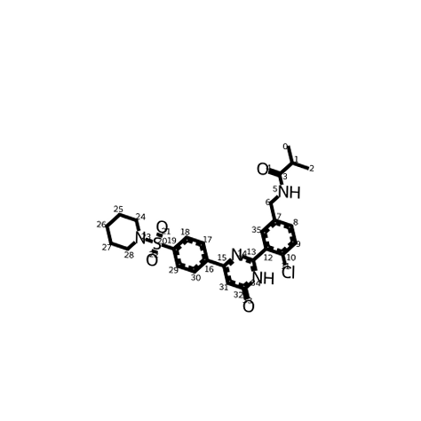 CC(C)C(=O)NCc1ccc(Cl)c(-c2nc(-c3ccc(S(=O)(=O)N4CCCCC4)cc3)cc(=O)[nH]2)c1